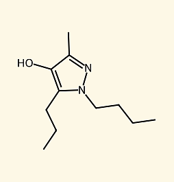 CCCCn1nc(C)c(O)c1CCC